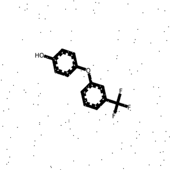 Oc1ccc(Oc2cccc(C(F)(F)F)c2)cc1